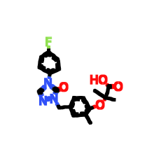 Cc1cc(Cn2ncn(-c3ccc(F)cc3)c2=O)ccc1OC(C)(C)C(=O)O